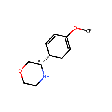 FC(F)(F)OC1=CCC([C@H]2COCCN2)C=C1